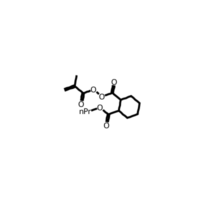 C=C(C)C(=O)OOC(=O)C1CCCCC1C(=O)OCCC